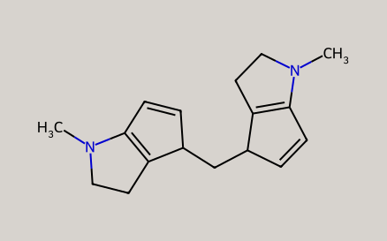 CN1CCC2=C1C=CC2CC1C=CC2=C1CCN2C